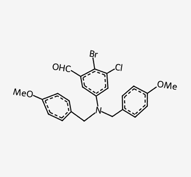 COc1ccc(CN(Cc2ccc(OC)cc2)c2cc(Cl)c(Br)c(C=O)c2)cc1